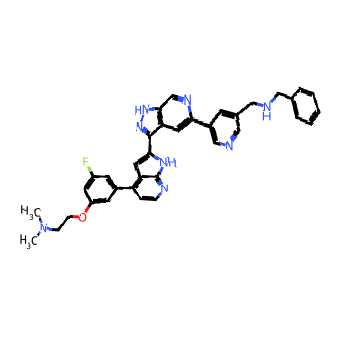 CN(C)CCOc1cc(F)cc(-c2ccnc3[nH]c(-c4n[nH]c5cnc(-c6cncc(CNCc7ccccc7)c6)cc45)cc23)c1